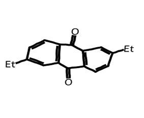 CCc1ccc2c(c1)C(=O)c1ccc(CC)cc1C2=O